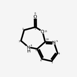 O=C1CCNc2cccnc2O1